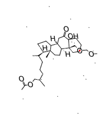 COCOC[C@]12CCCC[C@]1(O)C(=O)C[C@H]1[C@@H]3CC[C@H](C(C)CCCC(C)COC(C)=O)[C@@]3(C)CC[C@@H]12